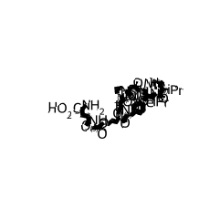 CC[C@H](C)[C@@H]([C@@H](CC(=O)N1CCC[C@H]1[C@H](OC)[C@@H](C)C(=O)N[C@@H](Cc1ccccc1)C(=O)NCCCOC(=O)[C@H](C)NC(=O)CCC(N)C(=O)O)OC)N(C)C(=O)[C@@H](NC(=O)[C@H](C(C)C)N(C)C)C(C)C